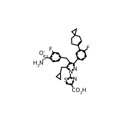 N[S+]([O-])c1ccc(Cc2c(-c3ccc(F)c(C4=CCC5(CC4)CC5)c3)nn(-c3nc(C(=O)O)cs3)c2CC2CC2)cc1F